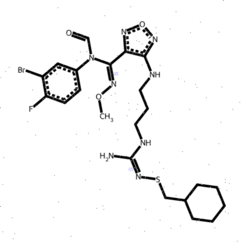 CO/N=C(/c1nonc1NCCCN/C(N)=N\SCC1CCCCC1)N(C=O)c1ccc(F)c(Br)c1